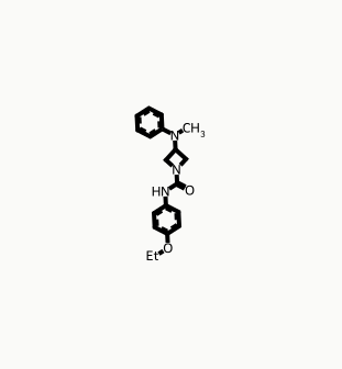 CCOc1ccc(NC(=O)N2CC(N(C)c3ccccc3)C2)cc1